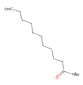 CCCCC(=O)CCCCCCCCCC=O